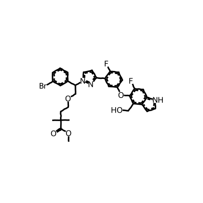 COC(=O)C(C)(C)CCOCC(c1cccc(Br)c1)n1ccc(-c2cc(Oc3c(F)cc4[nH]ccc4c3CO)ccc2F)n1